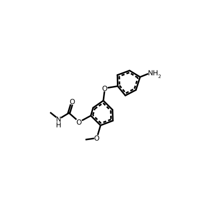 CNC(=O)Oc1cc(Oc2ccc(N)cc2)ccc1OC